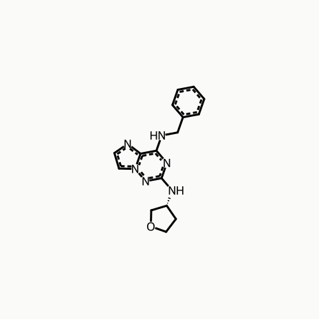 c1ccc(CNc2nc(N[C@@H]3CCOC3)nn3ccnc23)cc1